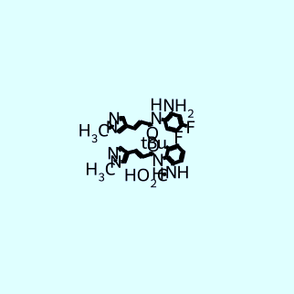 Cn1cc(/C=C/C(=O)Nc2c(NC(=O)O)ccc(F)c2C(C)(C)C)cn1.Cn1cc(/C=C/C(=O)Nc2ccc(F)cc2N)cn1